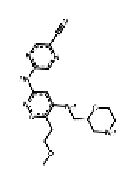 COCCc1nnc(Nc2cnc(C#N)cn2)cc1NC[C@@H]1CNCCO1